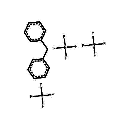 F[B-](F)(F)F.F[B-](F)(F)F.F[B-](F)(F)F.c1ccc(Cc2ccccc2)cc1